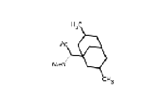 CN[C@H](C(C)=O)C12CC(C)CC(CC(C)C1)C2